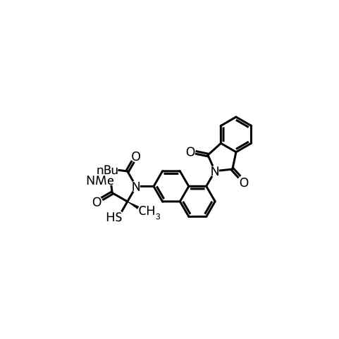 CCCCC(=O)N(c1ccc2c(N3C(=O)c4ccccc4C3=O)cccc2c1)[C@](C)(S)C(=O)NC